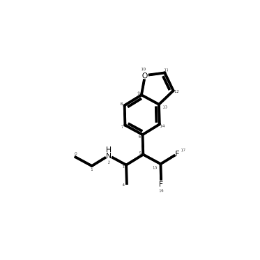 CCNC(C)C(c1ccc2occc2c1)C(F)F